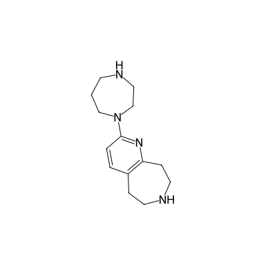 c1cc2c(nc1N1CCCNCC1)CCNCC2